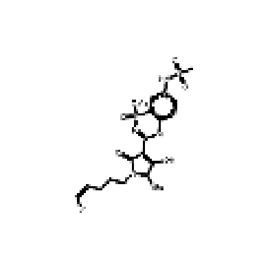 COP1(=O)N=C(C2=C(O)C(C(C)(C)C)N(CCC/C=C\Br)C2=O)Nc2ccc(NS(C)(=O)=O)cc21